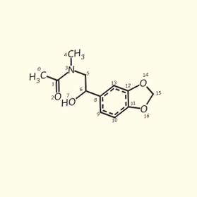 CC(=O)N(C)CC(O)c1ccc2c(c1)OCO2